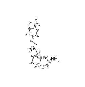 CC(C)(C)c1ccc(CCC(=O)Oc2cccc3ccc(N)nc23)cc1